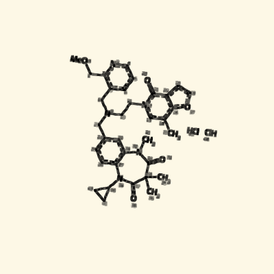 COCc1ncccc1CN(CCn1cc(C)c2occc2c1=O)Cc1ccc2c(c1)N(C)C(=O)C(C)(C)C(=O)N2C1CC1.Cl.Cl